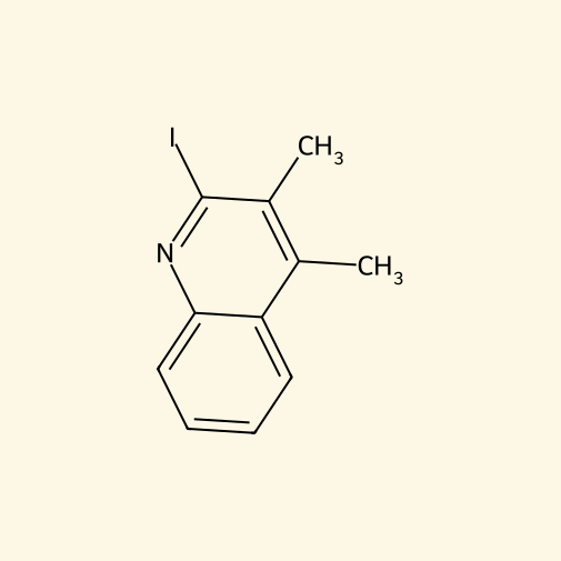 Cc1c(I)nc2ccccc2c1C